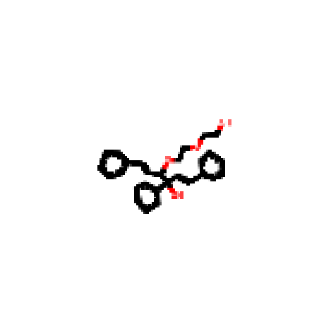 OCCOCCOC(C=Cc1ccccc1)C(O)(C=Cc1ccccc1)c1ccccc1